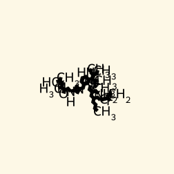 C=CC(F)=C=CCC(CCCC)C/C(=C/SC(C)N(C)/C(=C(\CC)NC)N1C=C(CN2CC(NCC(=O)N(C)CC(C)O)C2)C=CC1)CN